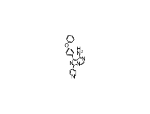 Nc1nccn2c(-c3ccncc3)nc(-c3ccc(Oc4ccccc4)cc3)c12